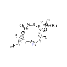 C[C@H]1C/C=C/C[C@H]([C@@H](C)CI)OC(=O)CCC[C@@H]1O[Si](C)(C)C(C)(C)C